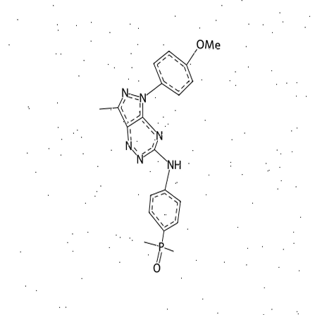 COc1ccc(-n2nc(C)c3nnc(Nc4ccc(P(C)(C)=O)cc4)nc32)cc1